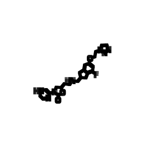 O=C1OC(CCNCC2Cc3cc(OCCn4ccnn4)cc(F)c3C2)CN1C1=CNCC=N1